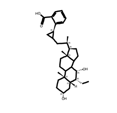 CC[C@H]1[C@@H](O)C2C3CC[C@H]([C@H](C)CC4C[C@H]4c4ccccc4C(=O)O)[C@@]3(C)CCC2[C@@]2(C)CC[C@@H](O)C[C@@H]12